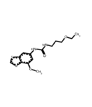 CCOCCCNC(=O)Nc1cc(OC)c2ncsc2c1